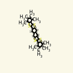 Cc1c(C)c(C)c2c(sc3c4cc5cc6sc7c(sc8c(C)c(C)c(C)c(C)c87)c6cc5cc4sc32)c1C